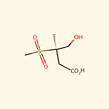 C[C@](CO)(CC(=O)O)S(C)(=O)=O